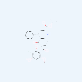 COc1cc(OC)c2c(c1Cl)O[C@@]1(C(=O)C3=C(C[C@H]1C)NC(C(=O)OC(C)C)=CC3c1ccccc1)C2=O